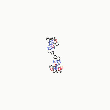 COC(=O)N[C@H](C(=O)N1CC2(C[C@H]1c1nc3ccc4cc(-c5ccc6c(c5)CCc5nc(C7CCCN7C(=O)[C@H](NC(=O)OC)c7ccccc7)[nH]c5-6)ccc4c3[nH]1)OCCO2)C(C)C